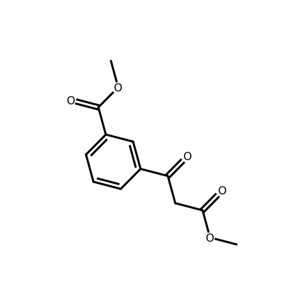 COC(=O)CC(=O)c1cccc(C(=O)OC)c1